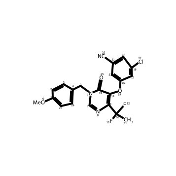 COc1ccc(Cn2cnc(C(C)(F)F)c(Oc3cc(Cl)cc(C#N)c3)c2=O)cc1